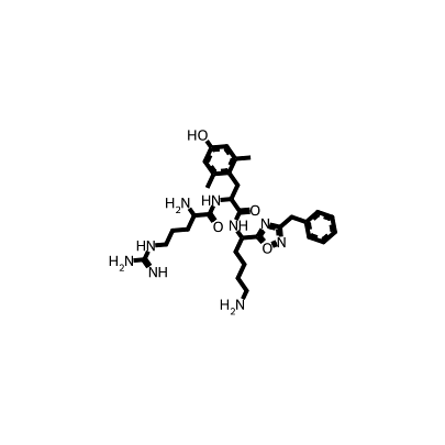 Cc1cc(O)cc(C)c1CC(NC(=O)C(N)CCCNC(=N)N)C(=O)NC(CCCCN)c1nc(Cc2ccccc2)no1